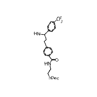 CCCCCCCCCCCCNC(=O)c1ccc(CCC([NH])c2ccc(C(F)(F)F)cc2)cc1